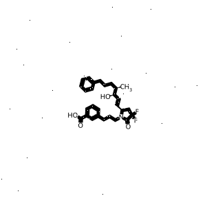 C[C@@H](CCCc1ccccc1)[C@@H](O)C=C[C@H]1CC(F)(F)C(=O)N1CCCc1cccc(C(=O)O)c1